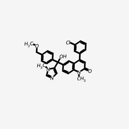 COCc1ccc(C(O)(c2ccc3c(c2)c(-c2cccc(Cl)c2)cc(=O)n3C)c2cncn2C)cc1